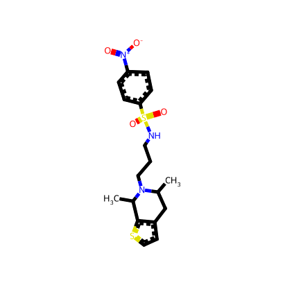 CC1Cc2ccsc2C(C)N1CCCNS(=O)(=O)c1ccc([N+](=O)[O-])cc1